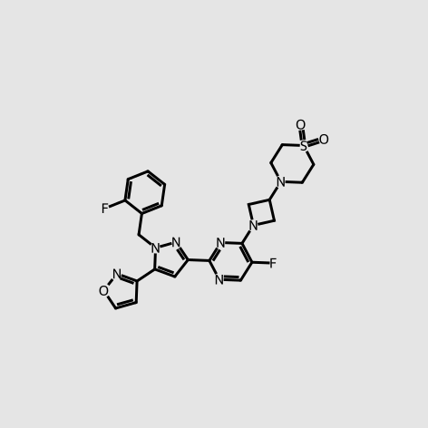 O=S1(=O)CCN(C2CN(c3nc(-c4cc(-c5ccon5)n(Cc5ccccc5F)n4)ncc3F)C2)CC1